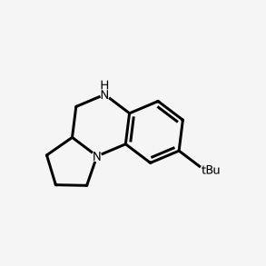 CC(C)(C)c1ccc2c(c1)N1CCCC1CN2